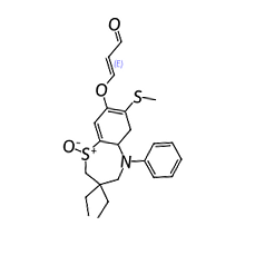 CCC1(CC)CN(c2ccccc2)C2CC(SC)=C(O/C=C/C=O)C=C2[S+]([O-])C1